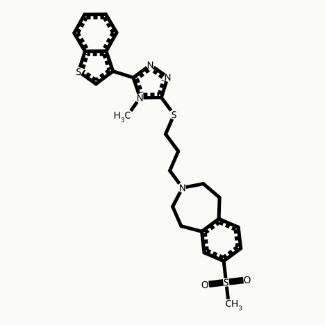 Cn1c(SCCCN2CCc3ccc(S(C)(=O)=O)cc3CC2)nnc1-c1csc2ccccc12